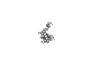 Cc1cnc(CNCc2ccc(O)c3c2C[C@H]2C[C@H]4[C@H](N(C)C)C(O)=C(C(N)=O)C(=O)[C@@]4(O)C(O)=C2C3=O)cn1